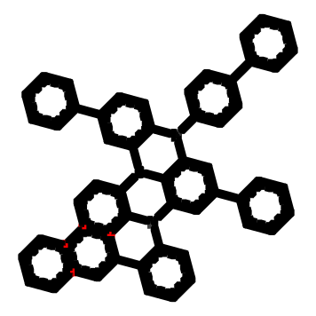 c1ccc(-c2ccc(N3c4ccc(-c5ccccc5)cc4B4c5ccc(-c6ccccc6)cc5N(c5ccccc5-c5ccccc5)c5cc(-c6ccccc6)cc3c54)cc2)cc1